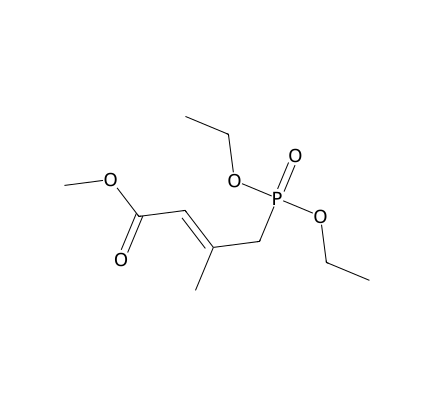 CCOP(=O)(CC(C)=CC(=O)OC)OCC